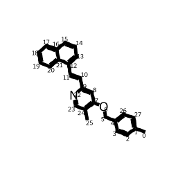 Cc1ccc(COc2cc(C=Cc3cccc4ccccc34)ncc2C)cc1